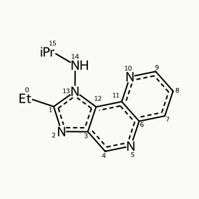 CCc1nc2cnc3cccnc3c2n1NC(C)C